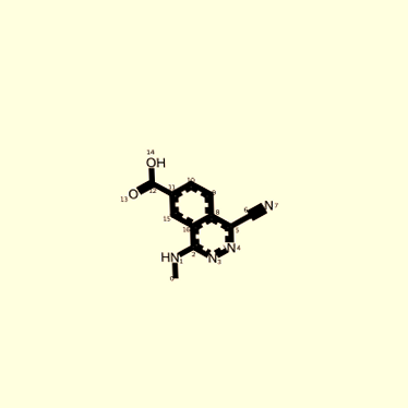 CNc1nnc(C#N)c2ccc(C(=O)O)cc12